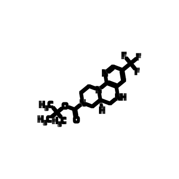 CC(C)(C)OC(=O)N1CCN2c3ncc(C(F)(F)F)cc3NC[C@H]2C1